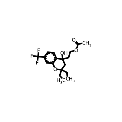 CCC1(CC)CC(O)(CCOC(C)=O)c2ccc(C(F)(F)F)cc2O1